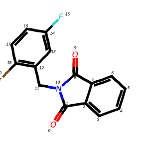 O=C1c2ccccc2C(=O)N1Cc1cc(F)ccc1Br